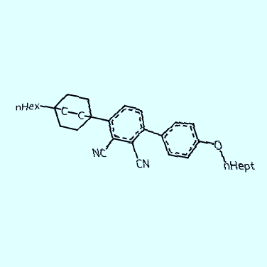 CCCCCCCOc1ccc(-c2ccc(C34CCC(CCCCCC)(CC3)CC4)c(C#N)c2C#N)cc1